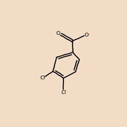 [O]C(=O)c1ccc(Cl)c(Cl)c1